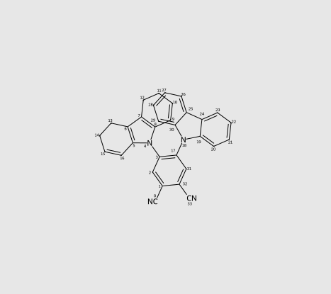 N#Cc1cc(-n2c3c(c4c2C=CCC4)CCC=C3)c(-n2c3ccccc3c3ccccc32)cc1C#N